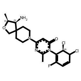 Cc1nc(N2CCC3(CC2)CO[C@@H](C)[C@H]3N)cc(=O)n1C1=C(F)C=CC(Cl)[C@@H]1Cl